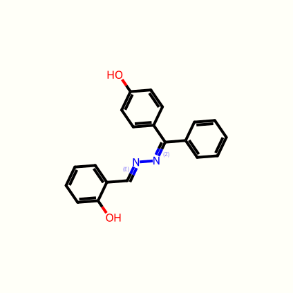 Oc1ccc(/C(=N\N=C\c2ccccc2O)c2ccccc2)cc1